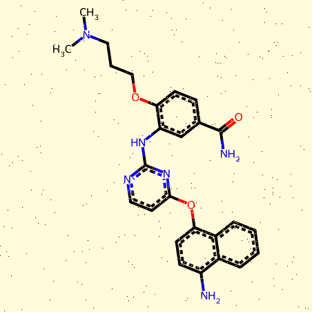 CN(C)CCCOc1ccc(C(N)=O)cc1Nc1nccc(Oc2ccc(N)c3ccccc23)n1